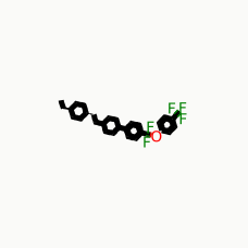 CC[C@H]1CC[C@H](CCC2CCC(c3ccc(C(F)(F)Oc4ccc(C(F)(F)F)cc4)cc3)CC2)CC1